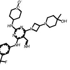 CC1(O)CCN(C2CN(c3nc(NC4CC[S+]([O-])CC4)nc(Nc4cccc(C(F)(F)F)c4)c3C=N)C2)CC1